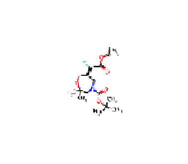 CCOC(=O)C(F)=C1COC(C)(C)CN(C(=O)OC(C)(C)C)C1